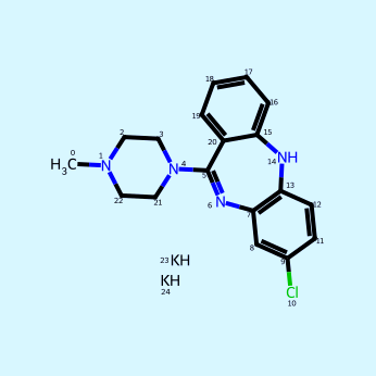 CN1CCN(C2=Nc3cc(Cl)ccc3Nc3ccccc32)CC1.[KH].[KH]